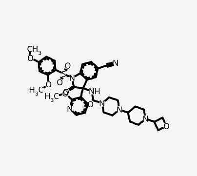 COc1ccc(S(=O)(=O)N2C(=O)C(NC(=O)N3CCN(C4CCN(C5COC5)CC4)CC3)(c3cccnc3OC)c3cc(C#N)ccc32)c(OC)c1